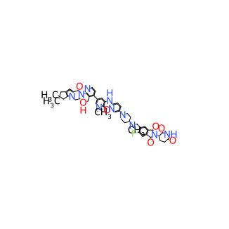 CN(Cc1cc2c(cc1F)C(=O)N(C1CCC(=O)NC1=O)C2=O)C1CCN(c2ccc(Nc3cc(-c4ccnc(N5CCn6c(cc7c6CC(C)(C)C7)C5=O)c4CO)cn(C)c3=O)nc2)CC1